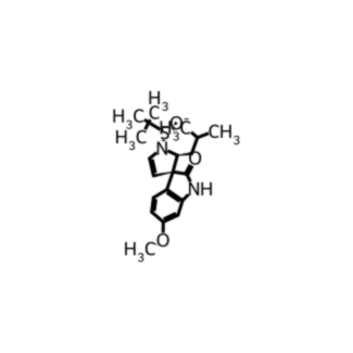 COc1ccc2c(c1)NC(=O)[C@]21C=CN([S@+]([O-])C(C)(C)C)[C@H]1CC(C)C